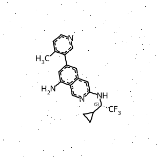 Cc1ccncc1-c1cc(N)c2cnc(N[C@@H](C3CC3)C(F)(F)F)cc2c1